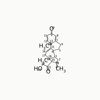 C[C@@H]1CC2C3CCC4=CC(=O)C=C[C@]4(C)C3=CCC2(C)C1C(=O)CO